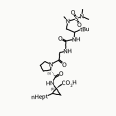 CCCCCCCC1C[C@]1(NC(=O)[C@@H]1CCCN1C(=O)CNC(=O)NC(CN(C)S(=O)(=O)N(C)C)C(C)(C)C)C(=O)O